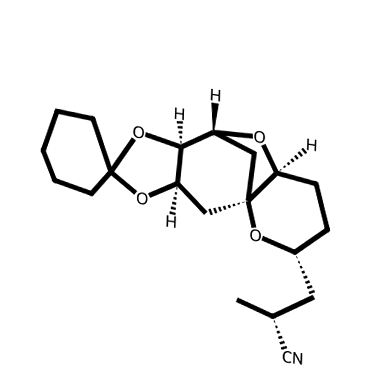 C[C@@H](C#N)C[C@H]1CC[C@@H]2O[C@@H]3C[C@]2(C[C@H]2OC4(CCCCC4)O[C@@H]32)O1